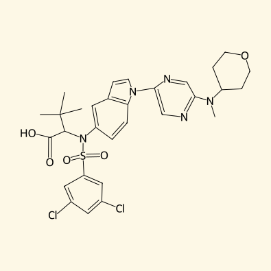 CN(c1cnc(-n2ccc3cc(N(C(C(=O)O)C(C)(C)C)S(=O)(=O)c4cc(Cl)cc(Cl)c4)ccc32)cn1)C1CCOCC1